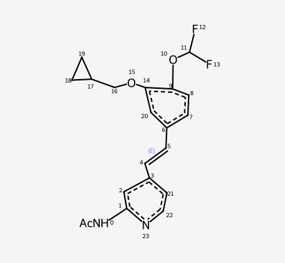 CC(=O)Nc1cc(/C=C/c2ccc(OC(F)F)c(OCC3CC3)c2)ccn1